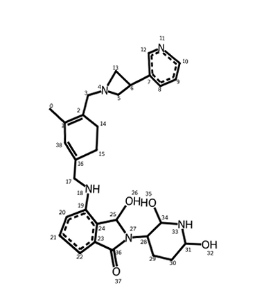 CC1=C(CN2CC(c3cccnc3)C2)CCC(CNc2cccc3c2C(O)N(C2CCC(O)NC2O)C3=O)=C1